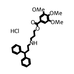 COc1cc(C(=O)OCCCNCCC(c2ccccc2)c2ccccc2)cc(OC)c1OC.Cl